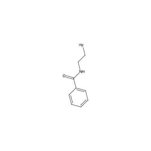 O=C(NCC[18F])c1ccccc1